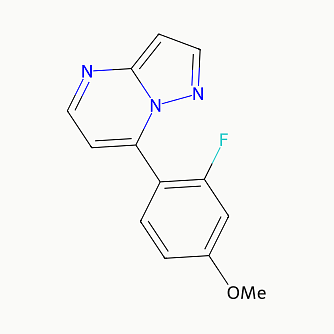 COc1ccc(-c2ccnc3ccnn23)c(F)c1